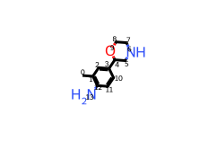 Cc1cc(C2CNCCO2)ccc1N